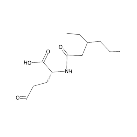 CCCC(CC)CC(=O)N[C@H](CC[C]=O)C(=O)O